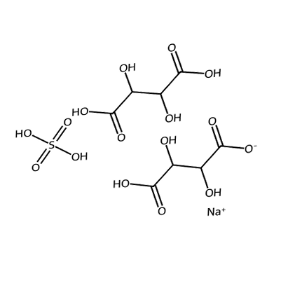 O=C(O)C(O)C(O)C(=O)O.O=C([O-])C(O)C(O)C(=O)O.O=S(=O)(O)O.[Na+]